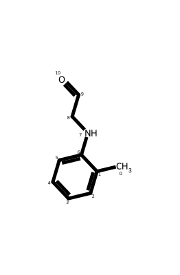 Cc1c[c]ccc1NCC=O